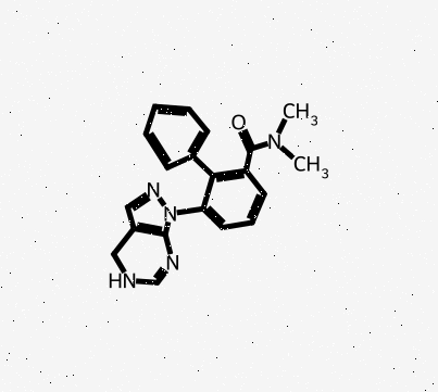 CN(C)C(=O)c1cccc(-n2ncc3c2N=CNC3)c1-c1ccccc1